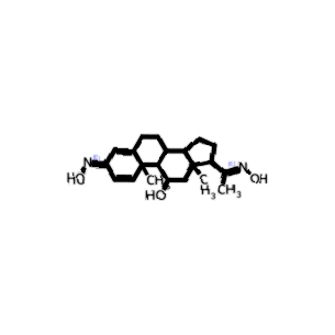 C/C(=N\O)C1CCC2C3CCC4=C/C(=N/O)C=CC4(C)C3C(O)CC12C